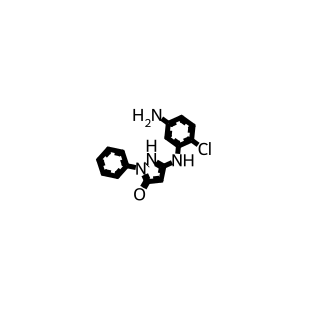 Nc1ccc(Cl)c(Nc2cc(=O)n(-c3ccccc3)[nH]2)c1